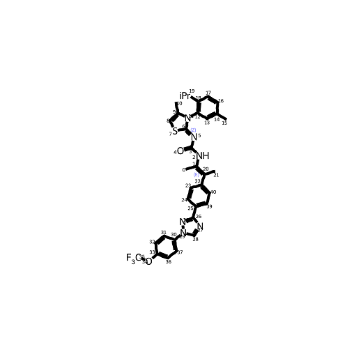 C/C(NC(=O)/N=c1\scc(C)n1-c1cc(C)ccc1C(C)C)=C(/C)c1ccc(-c2ncn(-c3ccc(OC(F)(F)F)cc3)n2)cc1